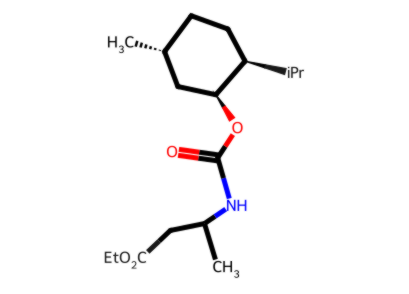 CCOC(=O)CC(C)NC(=O)O[C@H]1C[C@H](C)CC[C@H]1C(C)C